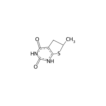 CC1Cc2c([nH]c(=O)[nH]c2=O)S1